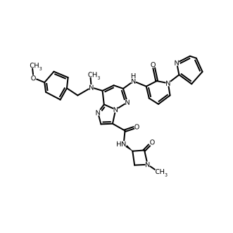 COc1ccc(CN(C)c2cc(Nc3cccn(-c4ccccn4)c3=O)nn3c(C(=O)N[C@@H]4CN(C)C4=O)cnc23)cc1